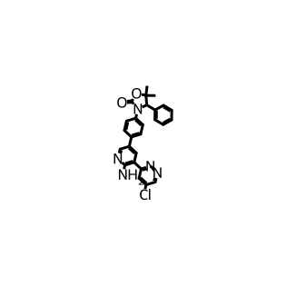 CC1(C)OC(=O)N(c2ccc(-c3cnc(N)c(-c4cc(Cl)cnn4)c3)cc2)C1c1ccccc1